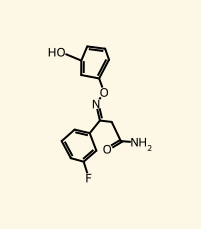 NC(=O)C/C(=N\Oc1cccc(O)c1)c1cccc(F)c1